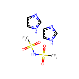 O=S(=O)(NS(=O)(=O)C(F)(F)F)C(F)(F)F.c1c[nH]cn1.c1c[nH]cn1